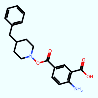 Nc1ccc(C(=O)ON2CCC(Cc3ccccc3)CC2)cc1C(=O)O